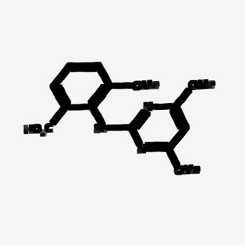 COc1cc(OC)nc([Se]c2c(OC)cccc2C(=O)O)n1